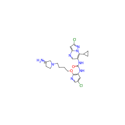 N[C@@H]1CCN(CCCCOc2ncc(Cl)cc2NC(=O)Nc2cnc3cc(Cl)nn3c2C2CC2)C1